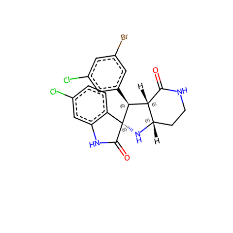 O=C1NCC[C@@H]2N[C@@]3(C(=O)Nc4cc(Cl)ccc43)[C@@H](c3cc(Cl)cc(Br)c3)[C@H]12